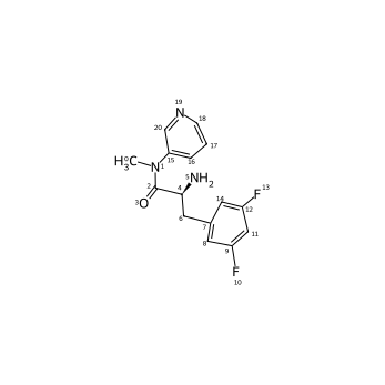 CN(C(=O)[C@@H](N)Cc1cc(F)cc(F)c1)c1cccnc1